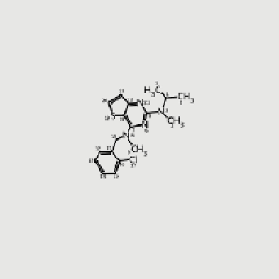 CC(C)N(C)c1nc(N(C)Cc2ccccc2Cl)c2sccc2n1